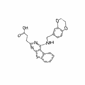 O=C(O)CCc1nc(NCc2ccc3c(c2)OCCO3)c2c(n1)sc1ccccc12